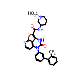 O=C(NC1CCCN(C(=O)O)C1)c1sc2nccc3c2c1NC(=O)N3c1cccc(-c2ccccc2C(F)(F)F)c1